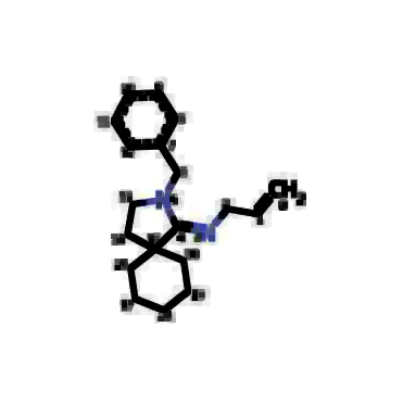 C=CCN=C1N(Cc2ccccc2)CCC12CCCCC2